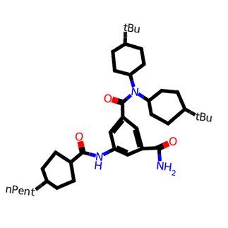 CCCCCC1CCC(C(=O)Nc2cc(C(N)=O)cc(C(=O)N(C3CCC(C(C)(C)C)CC3)C3CCC(C(C)(C)C)CC3)c2)CC1